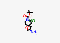 CC(C)(C)OC(=O)N1CCC2(CC1)CC(N)CO2.Cl